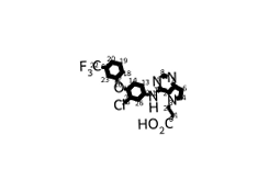 O=C(O)CCn1ccc2ncnc(Nc3ccc(Oc4cccc(C(F)(F)F)c4)c(Cl)c3)c21